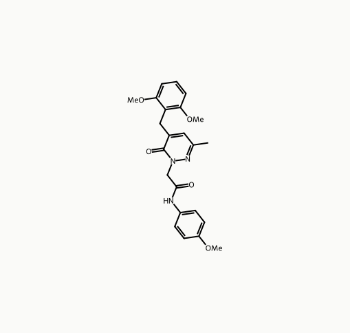 COc1ccc(NC(=O)Cn2nc(C)cc(Cc3c(OC)cccc3OC)c2=O)cc1